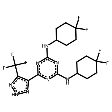 FC1(F)CCC(Nc2nc(NC3CCC(F)(F)CC3)nc(-c3n[nH]nc3C(F)(F)F)n2)CC1